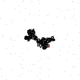 C=CC(=O)N1C[C@@H](C)N(c2nc(=O)n(-c3c(C)cc(/C=C\C(=O)N4CCN(c5nc(=O)n(-c6c(C)ccnc6C6CC6)c6nc(-c7ccccc7F)c(F)cc56)[C@@H](C)C4)nc3C(C)C)c3nc(-c4c(N)cccc4F)c(Cl)cc23)[C@H](C)C1